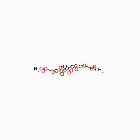 C=CC(=O)OCCCCOc1ccc(C(=O)Oc2ccc3c(C)c(-c4ccc(OC(=O)c5ccc(OCCCCOC(=O)C=C)cc5)c(Cl)c4)c(=O)oc3c2)cc1